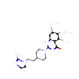 COc1cc2[nH]c(N3CCC(CCn4ccnc4N)CC3)nc(=O)c2c(OC)c1OC